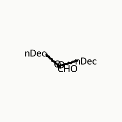 CCCCCCCCCCCCCCCCCCOCC(C=O)OCCCCCCCCCCCCCCCCCC